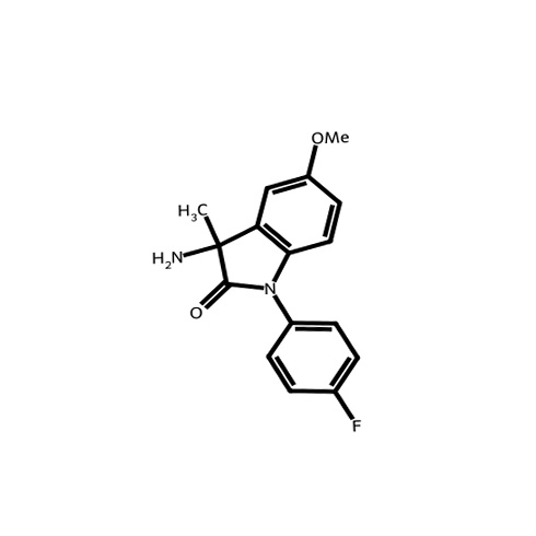 COc1ccc2c(c1)C(C)(N)C(=O)N2c1ccc(F)cc1